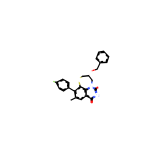 Cc1cc2c(=O)[nH]c(=O)n3c2c(c1-c1ccc(F)cc1)SC[C@H](OCc1ccccc1)C3